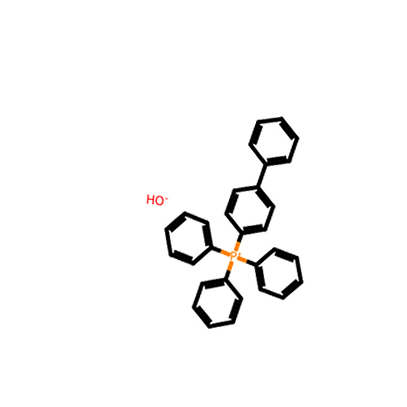 [OH-].c1ccc(-c2ccc([P+](c3ccccc3)(c3ccccc3)c3ccccc3)cc2)cc1